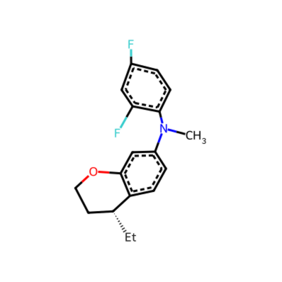 CC[C@@H]1CCOc2cc(N(C)c3ccc(F)cc3F)ccc21